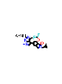 CC(=O)Nc1nc(C)c2c(-c3cc4c(c(OC(F)F)c3)C(=O)N([C@@H](C)C3CC3)C4)c[nH]c2n1